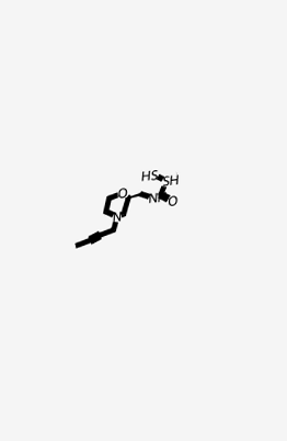 CC#CCN1CCO[C@@H](CNC(=O)[SH](C)S)C1